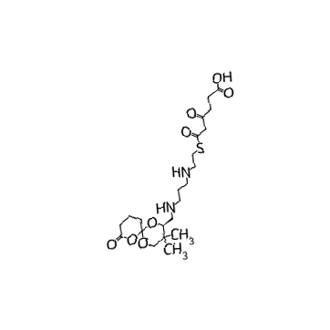 CC1(C)COC2(CCCC(=O)O2)O[C@H]1CNCCCNCCSC(=O)CC(=O)CCC(=O)O